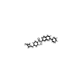 O=C(Nc1cc2nc(-c3cnccn3)ccc2cn1)[C@H]1CC[C@H](CN2CC(F)C2)CC1